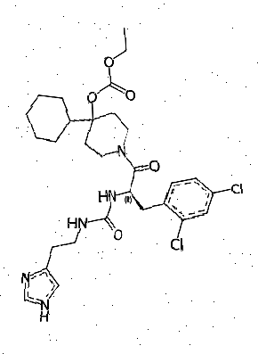 CCOC(=O)OC1(C2CCCCC2)CCN(C(=O)[C@@H](Cc2ccc(Cl)cc2Cl)NC(=O)NCCc2c[nH]cn2)CC1